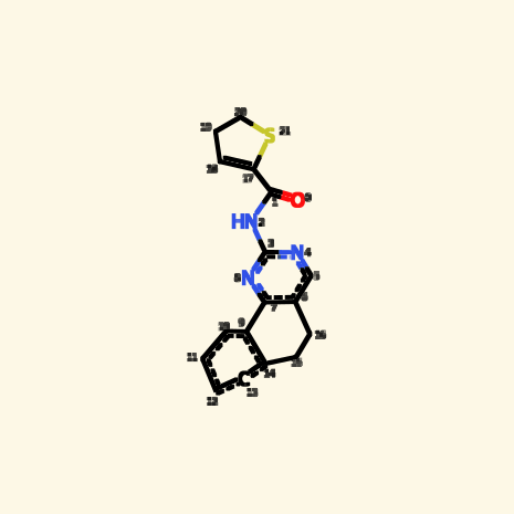 O=C(Nc1ncc2c(n1)-c1ccccc1CC2)C1=CCCS1